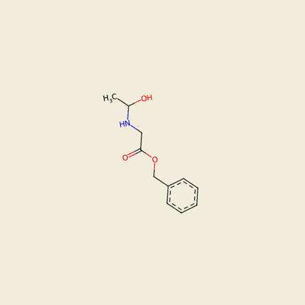 CC(O)NCC(=O)OCc1ccccc1